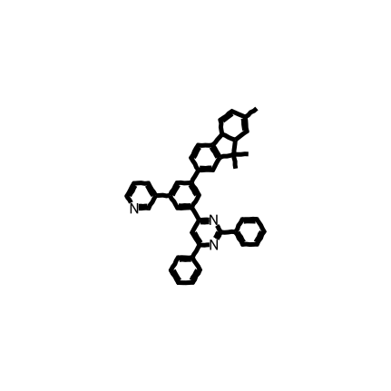 CC1=CC2C(C=C1)c1ccc(-c3cc(-c4cccnc4)cc(-c4cc(-c5ccccc5)nc(-c5ccccc5)n4)c3)cc1C2(C)C